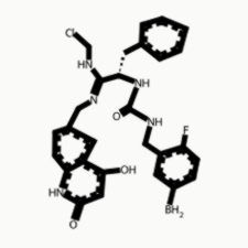 Bc1ccc(F)c(CNC(=O)N[C@@H](Cc2ccccc2)/C(=N/Cc2ccc3[nH]c(=O)cc(O)c3c2)NCCl)c1